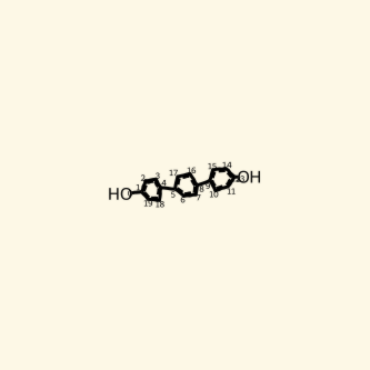 Oc1ccc(-c2ccc(-c3ccc(O)cc3)cc2)cc1